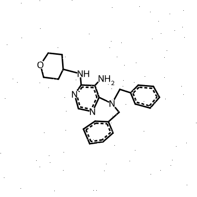 Nc1c(NC2CCOCC2)ncnc1N(Cc1ccccc1)Cc1ccccc1